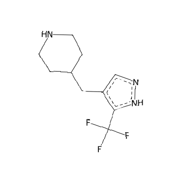 FC(F)(F)c1[nH]ncc1CC1CCNCC1